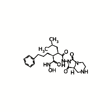 CC(C)C[C@@H](C(=O)NN1C(=O)[C@@H]2CNCCN2C1=O)[C@H](CCCc1ccccc1)C(=O)NO